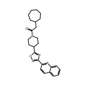 O=C(CC1CCCCCC1)N1CCC(c2nc(-c3ccc4ccccc4n3)no2)CC1